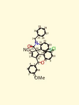 COc1cccc(C2Oc3ccc(Cl)cc3C3=C2C=C(C#N)C32C(=O)N(Cc3ccccc3)c3ccc(F)cc32)c1